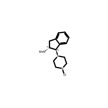 CCN1CCN([C@@H]2c3ccccc3C[C@H]2NC)CC1